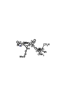 COCCOCCOCCNc1cc(COc2cc3c(cc2OC)C(=O)N2c4ccccc4C[C@H]2C/C=N\3)cc(COc2cc3c(cc2OC)C(=O)N2c4ccccc4CC2CN3C(=O)OCc2ccc(NC(=O)[C@H](CCC(N)=O)NC(=O)C(C#CC(C)C)NC(=O)CCCCC(=O)O)cc2)c1